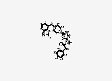 Nc1cccc(CN2CCN(c3nnc(NC(=O)Cc4ccccc4)s3)CC2)c1